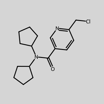 O=C(c1ccc(CCl)nc1)N(C1CCCC1)C1CCCC1